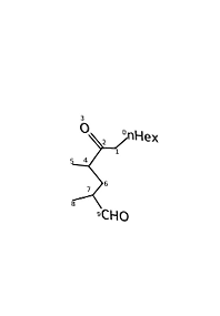 CCCCCCCC(=O)C(C)CC(C)C=O